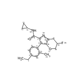 CCc1ccc(-c2c(C(=O)NC3CC3)nn3c2OCC(F)C3)c(C)c1